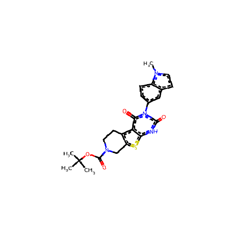 Cn1ccc2cc(-n3c(=O)[nH]c4sc5c(c4c3=O)CCN(C(=O)OC(C)(C)C)C5)ccc21